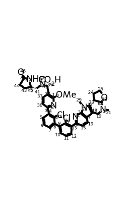 COc1nc(-c2cccc(-c3cccc(-c4ccc5c(CN(C)[C@@H]6CCCO6)cn(C)c5n4)c3Cl)c2Cl)ccc1CN(C[C@@H]1CCC(=O)N1)C(=O)O